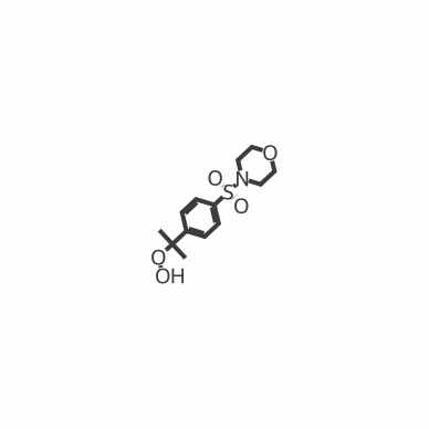 CC(C)(OO)c1ccc(S(=O)(=O)N2CCOCC2)cc1